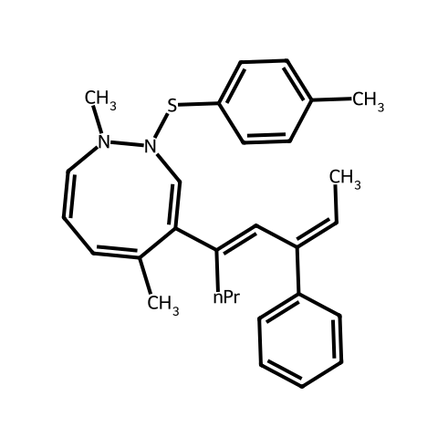 C/C=C(\C=C(/CCC)c1cn(Sc2ccc(C)cc2)n(C)cccc1C)c1ccccc1